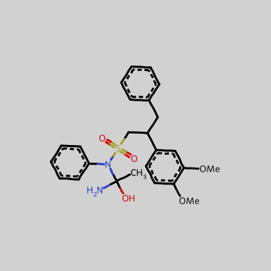 COc1ccc(C(Cc2ccccc2)CS(=O)(=O)N(c2ccccc2)C(C)(N)O)cc1OC